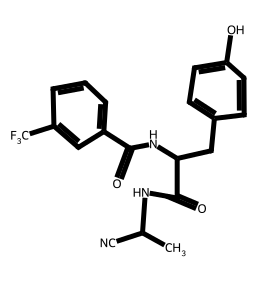 CC(C#N)NC(=O)C(Cc1ccc(O)cc1)NC(=O)c1cccc(C(F)(F)F)c1